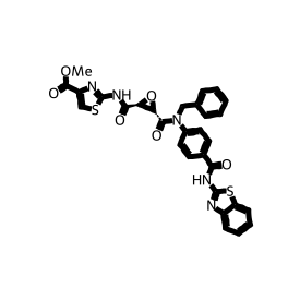 COC(=O)c1csc(NC(=O)[C@H]2O[C@@H]2C(=O)N(Cc2ccccc2)c2ccc(C(=O)Nc3nc4ccccc4s3)cc2)n1